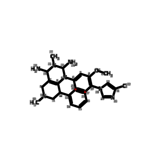 COc1cc(N2C3=C(CN(C)CC3c3ccccc3)C(N)N(C)C2N)ccc1-n1cnc(Cl)c1